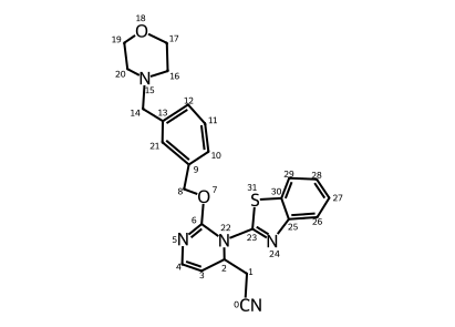 N#CCC1C=CN=C(OCc2cccc(CN3CCOCC3)c2)N1c1nc2ccccc2s1